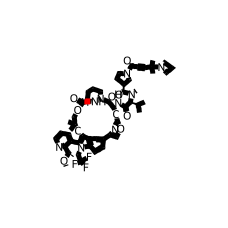 CO[C@@H](C)c1ncccc1-c1c2c3cc(ccc3n1CC(F)(F)F)-c1coc(n1)C[C@H](NC(=O)[C@H](C(C)C)N(C)C(=O)[C@H]1CCN(C(=O)C#CC(C)(C)N3CCC3)C1)C(=O)N1CCC[C@H](N1)C(=O)OCC(C)(C)C2